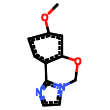 COc1ccc2c(c1)OCn1ccnc1-2